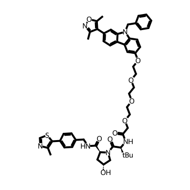 Cc1ncsc1-c1ccc(CNC(=O)[C@@H]2C[C@@H](O)CN2C(=O)[C@@H](NC(=O)COCCOCCOCCOc2ccc3c(c2)c2ccc(-c4c(C)noc4C)cc2n3Cc2ccccc2)C(C)(C)C)cc1